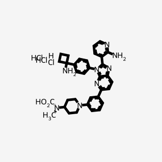 CN(C(=O)O)C1CCN(c2cccc(-c3ccc4nc(-c5cccnc5N)n(-c5ccc(C6(N)CCC6)cc5)c4n3)c2)CC1.Cl.Cl.Cl